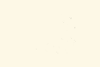 Cc1nc2cc(-n3ncc(C(=O)c4cc5ccc(CN6CCCC(F)C6)cc5[nH]4)c3N)ccc2[nH]1